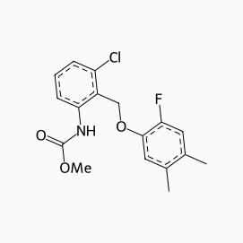 COC(=O)Nc1cccc(Cl)c1COc1cc(C)c(C)cc1F